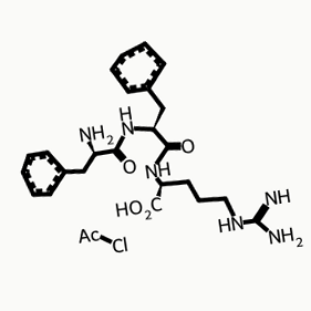 CC(=O)Cl.N=C(N)NCCC[C@H](NC(=O)[C@H](Cc1ccccc1)NC(=O)[C@H](N)Cc1ccccc1)C(=O)O